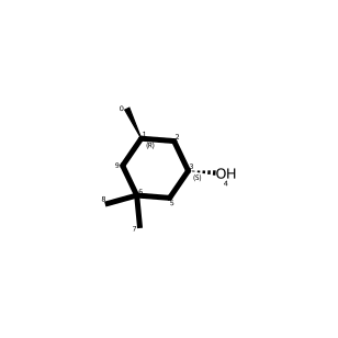 C[C@H]1C[C@H](O)CC(C)(C)C1